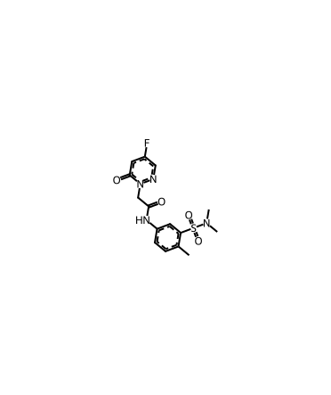 Cc1ccc(NC(=O)Cn2ncc(F)cc2=O)cc1S(=O)(=O)N(C)C